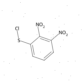 O=[N+]([O-])c1cccc(SCl)c1[N+](=O)[O-]